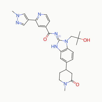 CN1CCC(c2ccc3c(c2)[nH]/c(=N\C(=O)c2ccnc(-c4cnn(C)c4)c2)n3CC(C)(C)O)CC1=O